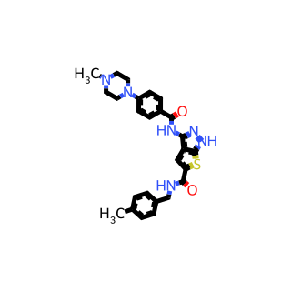 Cc1ccc(CNC(=O)c2cc3c(NC(=O)c4ccc(N5CCN(C)CC5)cc4)n[nH]c3s2)cc1